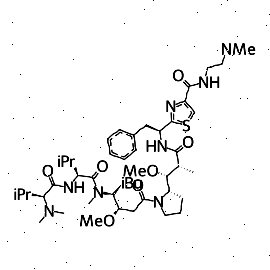 CC[C@H](C)[C@@H]([C@@H](CC(=O)N1CCC[C@H]1[C@H](OC)[C@@H](C)C(=O)N[C@@H](Cc1ccccc1)c1nc(C(=O)NCCNC)cs1)OC)N(C)C(=O)[C@@H](NC(=O)[C@H](C(C)C)N(C)C)C(C)C